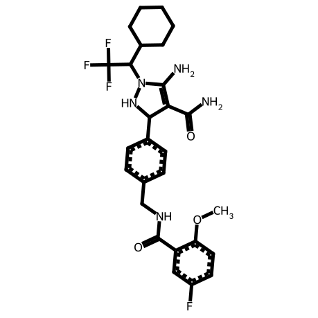 COc1ccc(F)cc1C(=O)NCc1ccc(C2NN(C(C3CCCCC3)C(F)(F)F)C(N)=C2C(N)=O)cc1